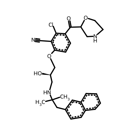 CC(C)(Cc1ccc2ccccc2c1)NC[C@@H](O)COc1ccc(C(=O)C2CNCCO2)c(Cl)c1C#N